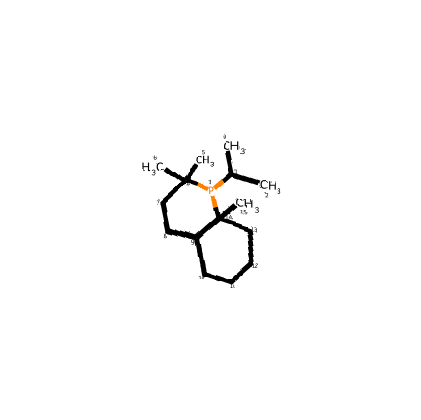 CC(C)P1C(C)(C)CCC2CCCCC21C